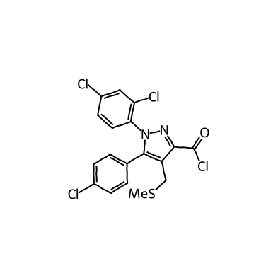 CSCc1c(C(=O)Cl)nn(-c2ccc(Cl)cc2Cl)c1-c1ccc(Cl)cc1